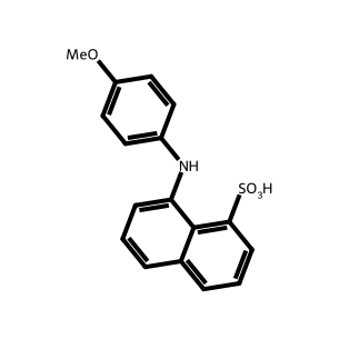 COc1ccc(Nc2cccc3cccc(S(=O)(=O)O)c23)cc1